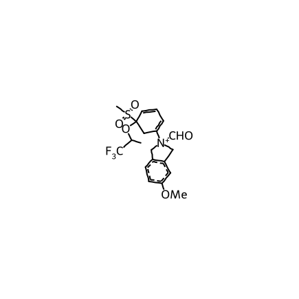 COc1ccc2c(c1)C[N+](C=O)(C1=CC=CC(OC(C)C(F)(F)F)(S(C)(=O)=O)C1)C2